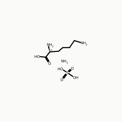 N.NCCCC[C@H](N)C(=O)O.O=S(=O)(O)O